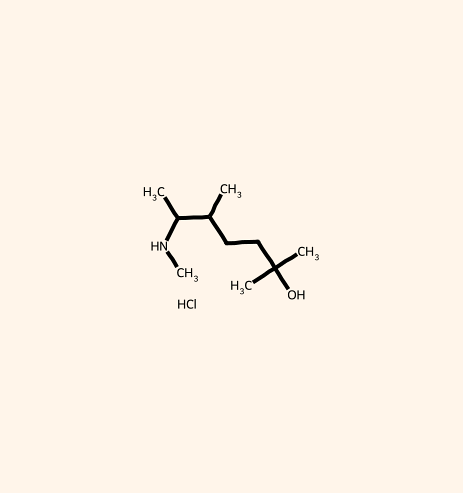 CNC(C)C(C)CCC(C)(C)O.Cl